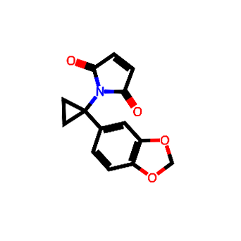 O=C1C=CC(=O)N1C1(c2ccc3c(c2)OCO3)CC1